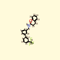 CN(Cc1cccc(-c2cccc(C(F)(F)F)c2)c1)C1CCc2ccccc2O1